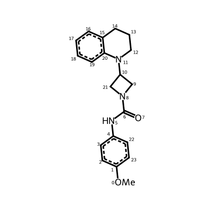 COc1ccc(NC(=O)N2CC(N3CCCc4ccccc43)C2)cc1